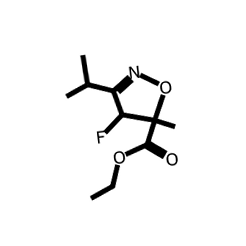 CCOC(=O)C1(C)ON=C(C(C)C)C1F